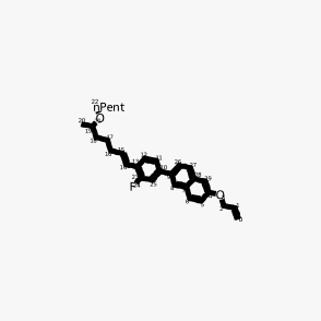 C=CCOc1ccc2cc(-c3ccc(C=CCCCC(C)OCCCCC)c(F)c3)ccc2c1